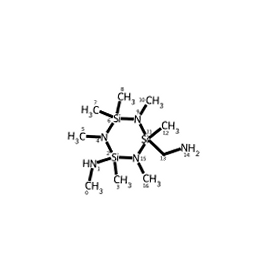 CN[Si]1(C)N(C)[Si](C)(C)N(C)[Si](C)(CN)N1C